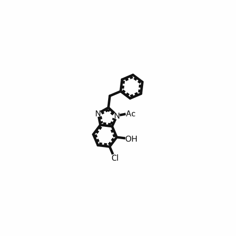 CC(=O)n1c(Cc2ccccc2)nc2ccc(Cl)c(O)c21